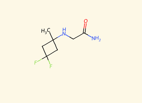 CC1(NCC(N)=O)CC(F)(F)C1